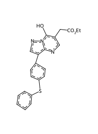 CCOC(=O)Cc1cnc2c(-c3ccc(Sc4ccccc4)cc3)cnn2c1O